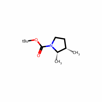 C[C@H]1CCN(C(=O)OC(C)(C)C)[C@H]1C